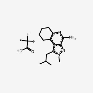 CC(C)Cc1c2c3c(nc(N)c2nn1C)CCCC3.O=C(O)C(F)(F)F